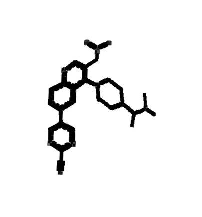 CC(C1CCN(c2c(C[SH](=O)=O)cnc3ccc(-c4cnc(C#N)nc4)cc23)CC1)N(C)C